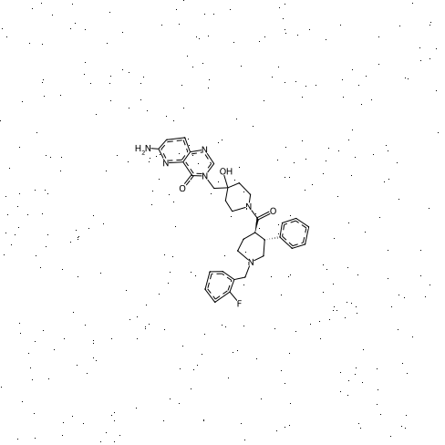 Nc1ccc2ncn(CC3(O)CCN(C(=O)[C@@H]4CCN(Cc5ccccc5F)C[C@H]4c4ccccc4)CC3)c(=O)c2n1